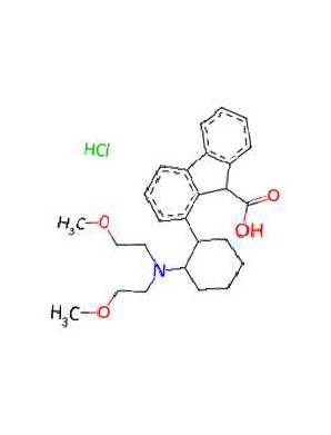 COCCN(CCOC)C1CCCCC1c1cccc2c1C(C(=O)O)c1ccccc1-2.Cl